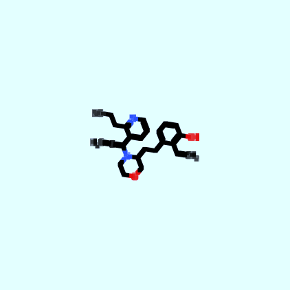 C=C=C(c1cccnc1CCC#N)N1CCOCC1CCc1cccc(O)c1C=C